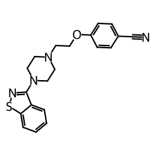 N#Cc1ccc(OCCN2CCN(c3nsc4ccccc34)CC2)cc1